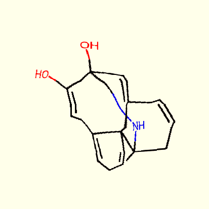 CC12CC=CC3=CC(O)(N1)C(O)=CC1=CCC=CC132